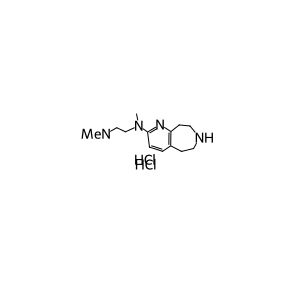 CNCCN(C)c1ccc2c(n1)CCNCC2.Cl.Cl